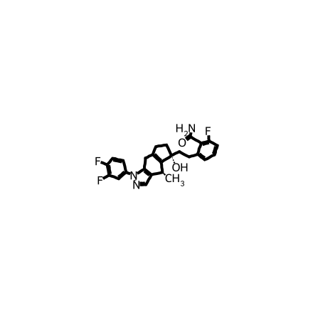 C[C@H]1C2=C(CC[C@@]2(O)CCc2cccc(F)c2C(N)=O)Cc2c1cnn2-c1ccc(F)c(F)c1